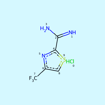 Cl.N=C(N)c1nc(C(F)(F)F)cs1